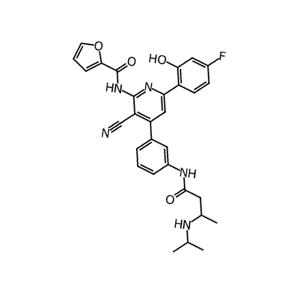 CC(C)NC(C)CC(=O)Nc1cccc(-c2cc(-c3ccc(F)cc3O)nc(NC(=O)c3ccco3)c2C#N)c1